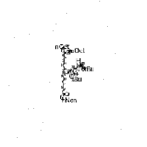 CCCCCCCCCOC(=O)CCCCCCCN(CCCCCCCC(=O)OC(CCCCCCCC)CCCCCCCC)CCN(CCNC(=O)OC(C)(C)C)C(=O)OC(C)(C)C